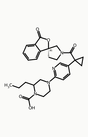 CCCC1CN(c2ccc(C3(C(=O)N4CC[C@@]5(C4)OC(=O)c4ccccc45)CC3)cn2)CCN1C(=O)O